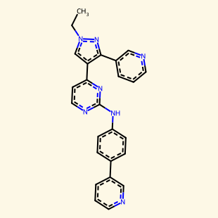 CCn1cc(-c2ccnc(Nc3ccc(-c4cccnc4)cc3)n2)c(-c2cccnc2)n1